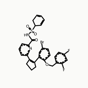 O=C(NS(=O)(=O)C1C=CC=CC1)c1cccc(C2=C(c3cc(Br)ccc3OCc3ccc(F)cc3F)CCC2)n1